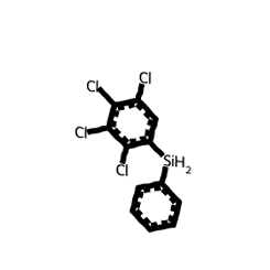 Clc1cc([SiH2]c2ccccc2)c(Cl)c(Cl)c1Cl